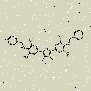 COc1cc(-c2oc(-c3cc(OC)c(OCc4ccccc4)c(OC)c3)c(C)c2C)cc(OC)c1OCc1ccccc1